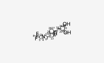 C[C@@H](CN1CC[C@H](C(C)(F)F)C1)[C@H]1CC[C@H]2/C(=C/C=C3C[C@@H](O)C[C@H](O)C3)CCC[C@]12C